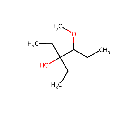 CCC(OC)C(O)(CC)CC